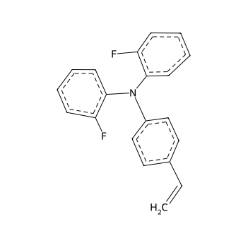 C=Cc1ccc(N(c2ccccc2F)c2ccccc2F)cc1